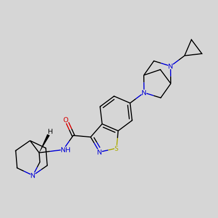 O=C(N[C@@H]1CN2CCC1CC2)c1nsc2cc(N3CC4CC3CN4C3CC3)ccc12